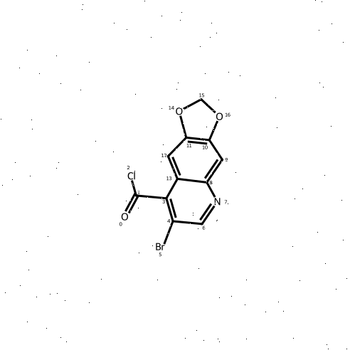 O=C(Cl)c1c(Br)cnc2cc3c(cc12)OCO3